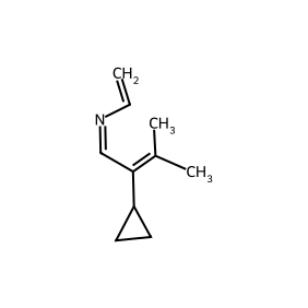 C=C/N=C\C(=C(C)C)C1CC1